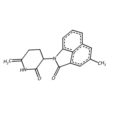 C=C1CCC(N2C(=O)c3cc(C)cc4cccc2c34)C(=O)N1